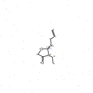 C=CC/N=C1\OCC(=O)N1CC